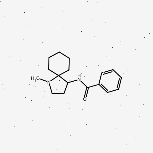 CN1CCC(NC(=O)c2ccccc2)C12CCCCC2